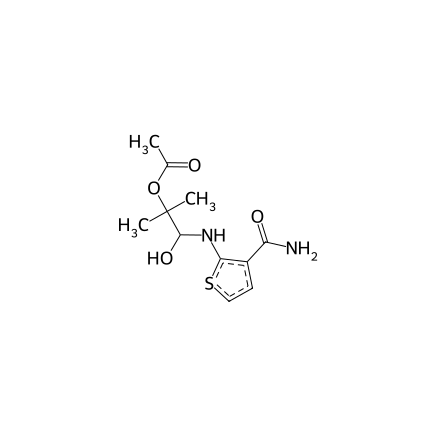 CC(=O)OC(C)(C)C(O)Nc1sccc1C(N)=O